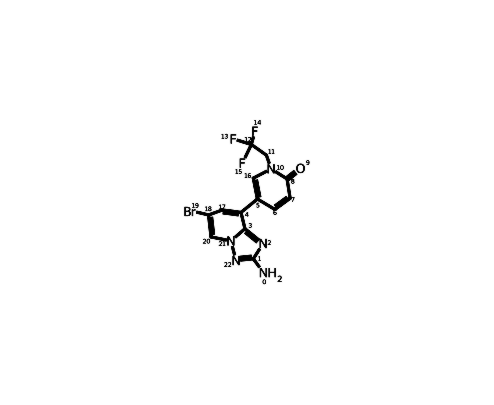 Nc1nc2c(-c3ccc(=O)n(CC(F)(F)F)c3)cc(Br)cn2n1